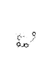 OC[C@H]1O[C@@H](c2ccc(Cl)c(Cc3ccc(OCCC4Cc5ccccc5O4)cc3)c2)[C@H](O)[C@@H](O)[C@@H]1O